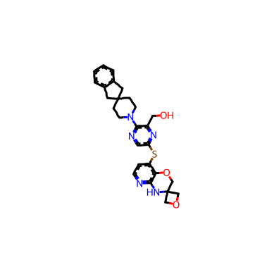 OCc1nc(Sc2ccnc3c2OCC2(COC2)N3)cnc1N1CCC2(CC1)Cc1ccccc1C2